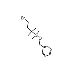 CC(C)(CCBr)[Si](C)(C)OCc1ccccc1